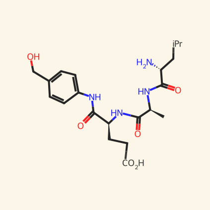 CC(C)C[C@@H](N)C(=O)N[C@@H](C)C(=O)N[C@@H](CCC(=O)O)C(=O)Nc1ccc(CO)cc1